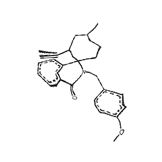 C#CC1CC(C)CCC12c1ccccc1C(=O)N2Cc1ccc(OC)cc1